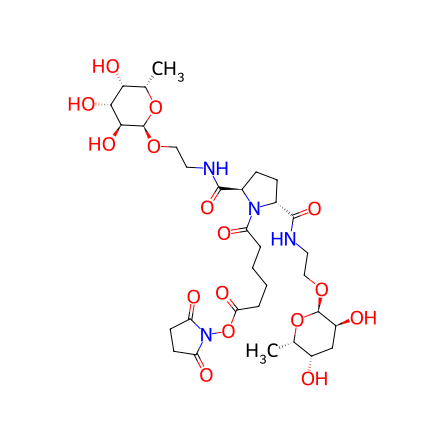 C[C@@H]1O[C@@H](OCCNC(=O)[C@H]2CC[C@H](C(=O)NCCO[C@@H]3O[C@@H](C)[C@@H](O)C[C@@H]3O)N2C(=O)CCCCC(=O)ON2C(=O)CCC2=O)[C@@H](O)[C@H](O)[C@@H]1O